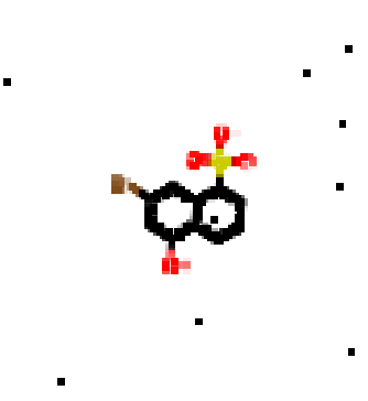 O=S(=O)(O)c1cccc2c(O)cc(Br)cc12